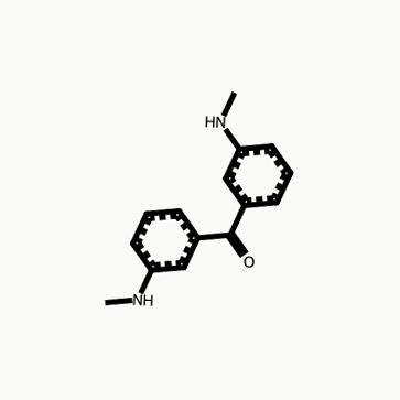 CNc1cccc(C(=O)c2cccc(NC)c2)c1